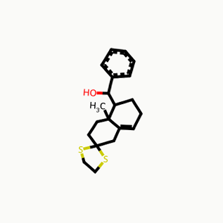 CC12CCC3(CC1=CCCC2C(O)c1ccccc1)SCCS3